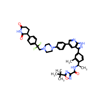 Cc1cc(-c2n[nH]c3ncc(-c4ccc(N5CCN(CC(F)(F)c6ccc(C7CCC(=O)NC7=O)cc6)CC5)cc4)cc23)ccc1[C@@H](C)NC(=O)c1noc(C(C)(C)C)n1